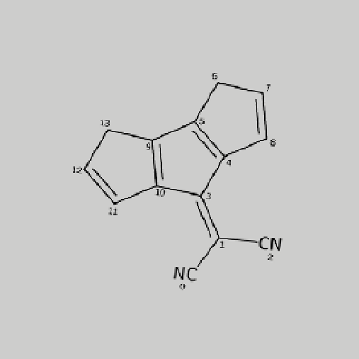 N#CC(C#N)=C1C2=C(CC=C2)C2=C1C=CC2